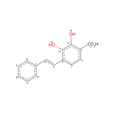 O=C(O)c1ccc(C=Cc2ccccc2)c(O)c1O